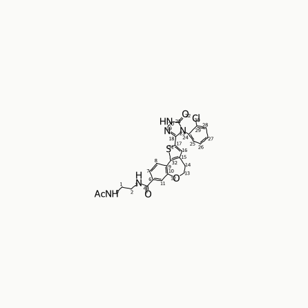 CC(=O)NCCNC(=O)c1ccc2c(c1)OCCc1cc(-c3n[nH]c(=O)n3-c3ccccc3Cl)sc1-2